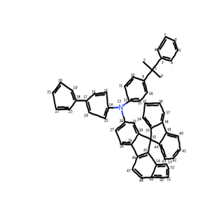 CC(C)(c1ccccc1)c1ccc(N(c2ccc(-c3ccccc3)cc2)c2ccc3c(c2)C2(c4ccccc4-c4ccccc42)c2c-3ccc3ccccc23)cc1